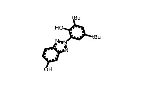 CC(C)(C)c1cc(-n2nc3ccc(O)cc3n2)c(O)c(C(C)(C)C)c1